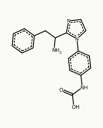 NC(Cc1ccccc1)c1nccn1-c1ccc(NC(=O)O)cc1